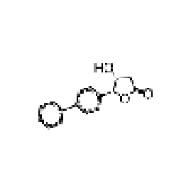 O=C1C[C@@H](O)[C@H](c2ccc(-c3ccccc3)cc2)O1